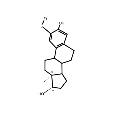 CCSc1cc2c(cc1O)CCC1C2CC[C@@]2(C)C1CC[C@@H]2O